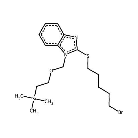 C[Si](C)(C)CCOCn1c(SCCCCCBr)nc2ccccc21